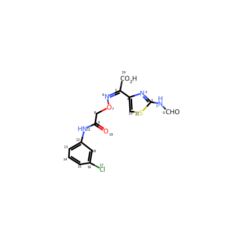 O=CNc1nc(C(=NOCC(=O)Nc2cccc(Cl)c2)C(=O)O)cs1